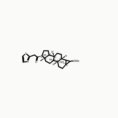 COC1C2[C@H]3CC[C@@H]4[C@H](CC[C@]5(C)[C@@H](C(=O)Cc6nccs6)CC[C@@H]45)[C@H]3CC[C@]12O